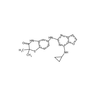 CC1(C)Sc2ccc(Nc3nc(NC4CC4)c4occc4n3)cc2NC1=O